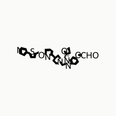 O=COc1ccc2nc(CN3CCC(c4cccc(OCc5ccc(-c6ccncc6)s5)n4)CC3)n(C[C@@H]3CCO3)c2c1